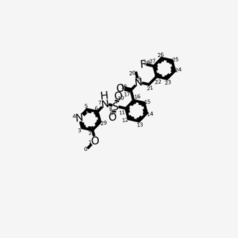 COc1cncc(NS(=O)(=O)c2ccccc2C(=O)N(C)Cc2ccccc2F)c1